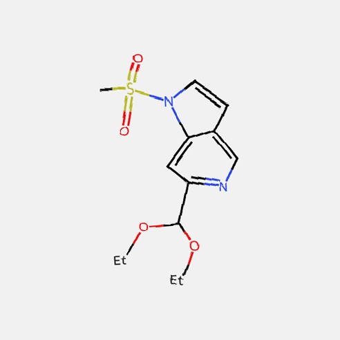 CCOC(OCC)c1cc2c(ccn2S(C)(=O)=O)cn1